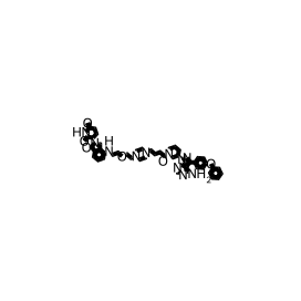 Nc1ncnc2c1c(-c1ccc(Oc3ccccc3)cc1)nn2C1CCCN(C(=O)CCCN2CCN(CCOCCNc3cccc4c3CN(C3CCC(=O)NC3=O)C4=O)CC2)C1